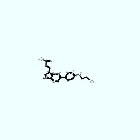 NC(=O)C=Cc1c[nH]c2ncc(-c3ccc(OCCC(F)(F)F)nc3)nc12